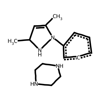 C1CNCCN1.CC1=CC(C)NN1c1ccccc1